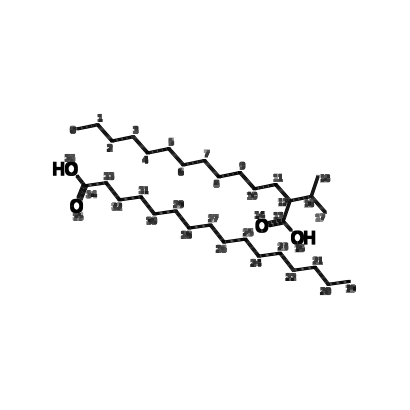 CCCCCCCCCCCCC(C(=O)O)C(C)C.CCCCCCCCCCCCCCCC(=O)O